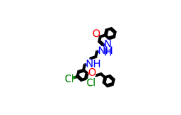 O=c1cc(NCCCNCc2cc(Cl)cc(Cl)c2OCCc2ccccc2)[nH]c2ccccc12